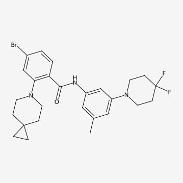 Cc1cc(NC(=O)c2ccc(Br)cc2N2CCC3(CC2)CC3)cc(N2CCC(F)(F)CC2)c1